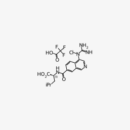 CC(C)C[C@H](NC(=O)c1ccc2c(N(Cl)C(=N)N)cncc2c1)C(=O)O.O=C(O)C(F)(F)F